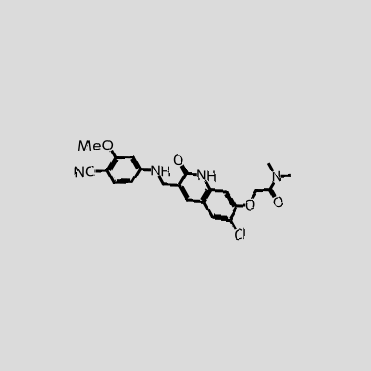 COc1cc(NCc2cc3cc(Cl)c(OCC(=O)N(C)C)cc3[nH]c2=O)ccc1C#N